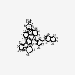 CCC1CC2CCCC(C1)C21c2ccccc2-c2c(N(c3cccc(-c4ccc5ccccc5c4)c3)c3ccc4c(c3)C3(CCCCC3)c3ccccc3-4)cccc21